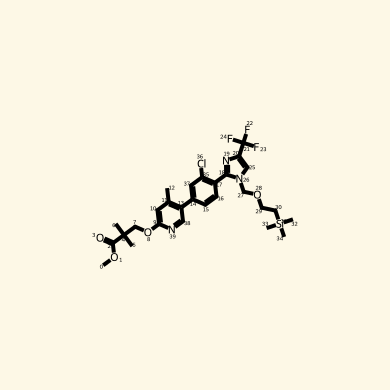 COC(=O)C(C)(C)COc1cc(C)c(-c2ccc(-c3nc(C(F)(F)F)cn3COCC[Si](C)(C)C)c(Cl)c2)cn1